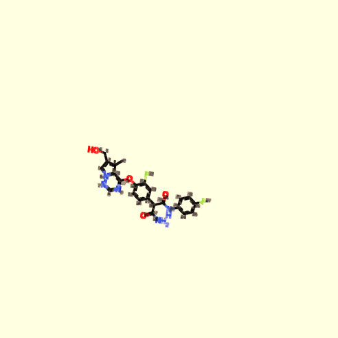 Cc1c(CO)cn2ncnc(Oc3ccc(C(C(N)=O)C(=O)Nc4ccc(F)cc4)cc3F)c12